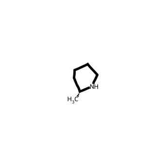 C[C@@H]1CC[CH]CN1